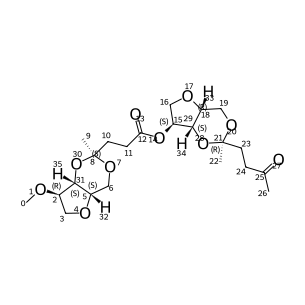 CO[C@@H]1CO[C@H]2CO[C@](C)(CCC(=O)O[C@H]3CO[C@@H]4CO[C@@](C)(CCC(C)=O)O[C@H]34)O[C@H]21